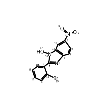 O=[N+]([O-])c1ccc2nc(-c3ccccc3Br)n(O)c2c1